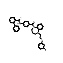 O=C(Nc1ccc(C(=O)N2CCCN(CCOc3cccc(F)c3)c3ccccc32)cc1)c1ccccc1-c1ccccc1